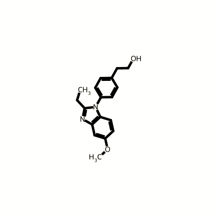 CCc1nc2cc(OC)ccc2n1-c1ccc(CCO)cc1